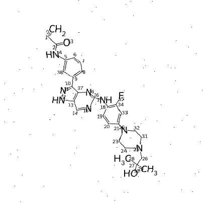 C=CC(=O)Nc1cccc(-c2n[nH]c3cnc(Nc4ccc(N5CCN(CC(C)(C)O)CC5)cc4F)nc23)c1